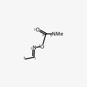 CC=NOC(=O)NC